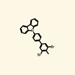 Cc1c(Br)cc(-c2ccc(-n3c4ccccc4c4ccccc43)cc2)cc1Br